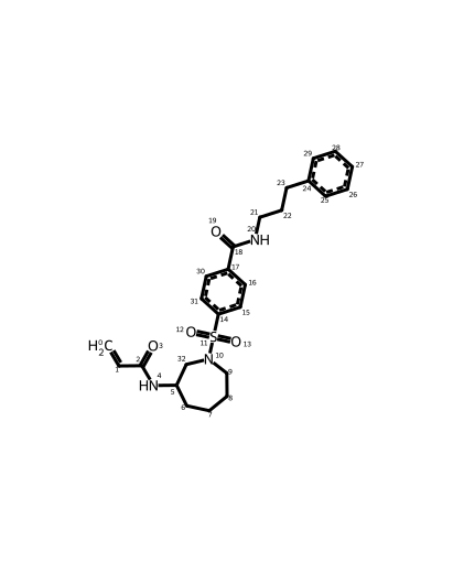 C=CC(=O)NC1CCCCN(S(=O)(=O)c2ccc(C(=O)NCCCc3ccccc3)cc2)C1